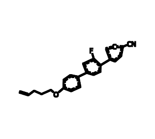 C=CCCCOc1ccc(-c2ccc(-c3ccc(C#N)cc3)c(F)c2)cc1